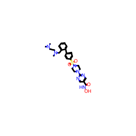 CN(C)CCN(C)Cc1ccccc1-c1ccc(S(=O)(=O)N2CCN(c3ncc(C(=O)NO)cn3)CC2)cc1